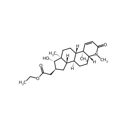 CCOC(=O)C[C@@H]1C[C@H]2[C@@H]3CC[C@H]4N(C)C(=O)C=C[C@]4(C)[C@H]3CC[C@]2(C)[C@H]1O